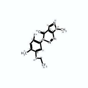 Cc1cc(F)c(-n2nnc3c(cnn3C)c2=O)cc1SCC(F)(F)F